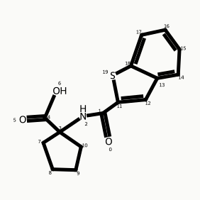 O=C(NC1(C(=O)O)CCCC1)c1cc2ccccc2s1